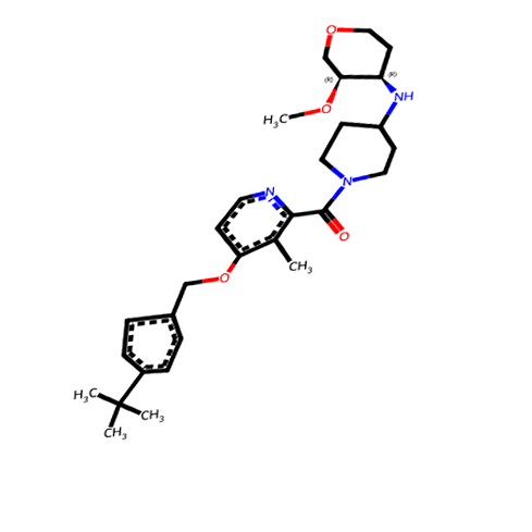 CO[C@H]1COCC[C@H]1NC1CCN(C(=O)c2nccc(OCc3ccc(C(C)(C)C)cc3)c2C)CC1